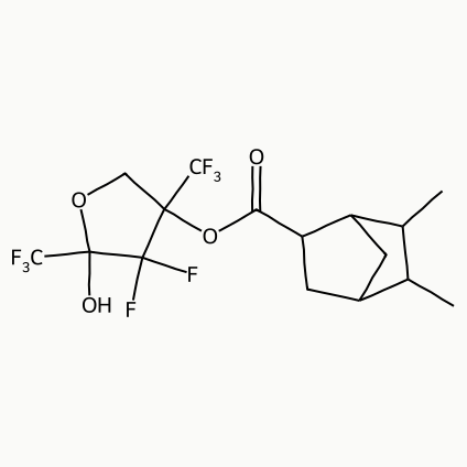 CC1C2CC(C(=O)OC3(C(F)(F)F)COC(O)(C(F)(F)F)C3(F)F)C(C2)C1C